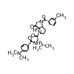 Cc1cccc(C(=O)N2CC(=O)[C@@H]3C2CCN3C(=O)[C@H](CC(C)C)NC(=O)c2ccc(N(C)C)cc2)c1